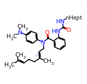 CCCCCCCNC(=O)Nc1ccccc1C(=O)N(C/C=C(\C)CCC=C(C)C)c1ccc(N(C)C)cc1